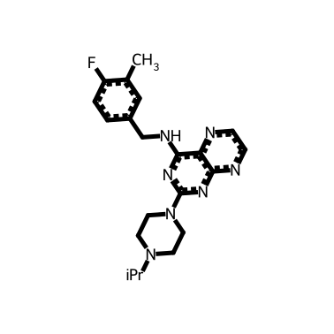 Cc1cc(CNc2nc(N3CCN(C(C)C)CC3)nc3nccnc23)ccc1F